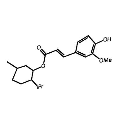 COc1cc(C=CC(=O)OC2CC(C)CCC2C(C)C)ccc1O